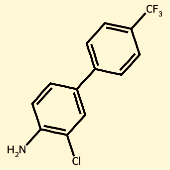 Nc1ccc(-c2ccc(C(F)(F)F)cc2)cc1Cl